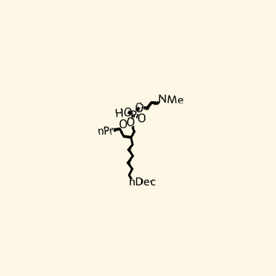 CCCCCCCCCCCCCCCCC(COP(=O)(O)OCCCNC)CC(=O)CCC